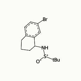 CC(C)(C)[S+]([O-])NC1CCCc2ccc(Br)cc21